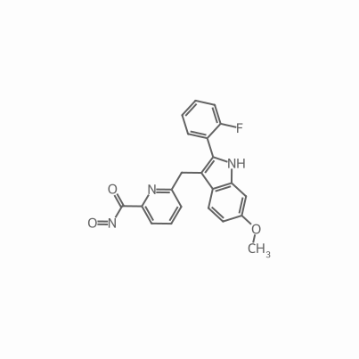 COc1ccc2c(Cc3cccc(C(=O)N=O)n3)c(-c3ccccc3F)[nH]c2c1